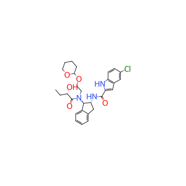 CC[C@H](O)C(=O)N(CCOC1CCCCO1)[C@@H]1c2ccccc2C[C@H]1NC(=O)c1cc2cc(Cl)ccc2[nH]1